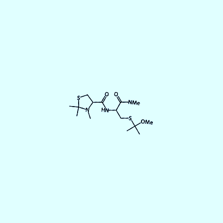 CNC(=O)C(CSC(C)(C)OC)NC(=O)C1CSC(C)(C)N1C